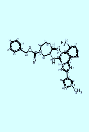 Cn1cc(-c2nc3c4cccc(C(F)(F)F)c4nc(N[C@@H]4CN(C(=O)OCc5ccccc5)CCNC4=O)n3n2)cn1